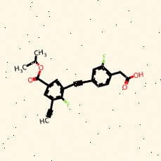 C#Cc1cc(C(=O)OC(C)C)cc(C#Cc2ccc(CC(=O)O)c(F)c2)c1F